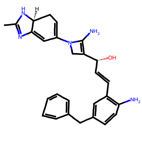 CC1=NC2=CC(N3CC([C@H](O)/C=C/c4cc(Cc5ccccc5)ccc4N)=C3N)=CC[C@@H]2N1